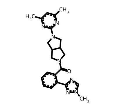 Cc1cc(C)nc(N2CC3CN(C(=O)c4ccccc4-c4ncn(C)n4)CC3C2)n1